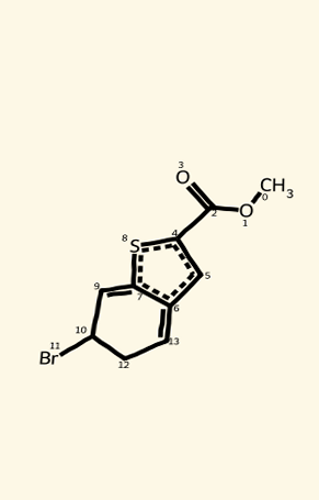 COC(=O)c1cc2c(s1)=CC(Br)CC=2